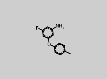 Cc1ccc(Oc2cc(N)cc(F)c2)cc1